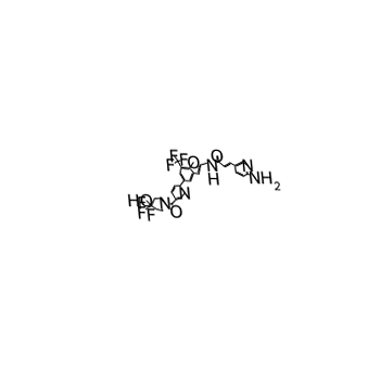 Nc1ccc(/C=C/C(=O)NCc2cc3cc(-c4ccc(C(=O)N5CCC(O)(C(F)(F)F)CC5)cn4)cc(C(F)(F)F)c3o2)cn1